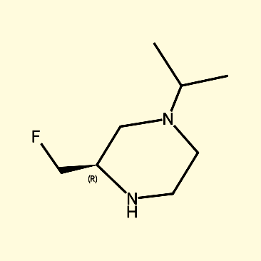 CC(C)N1CCN[C@@H](CF)C1